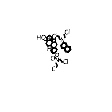 C[C@]12CC[C@@H]3c4ccc(OC(=O)N(CCCl)CCCl)cc4CC[C@H]3[C@@H]1CC[C@@H]2O.ClCCN(CCCl)c1ccc2ccccc2c1